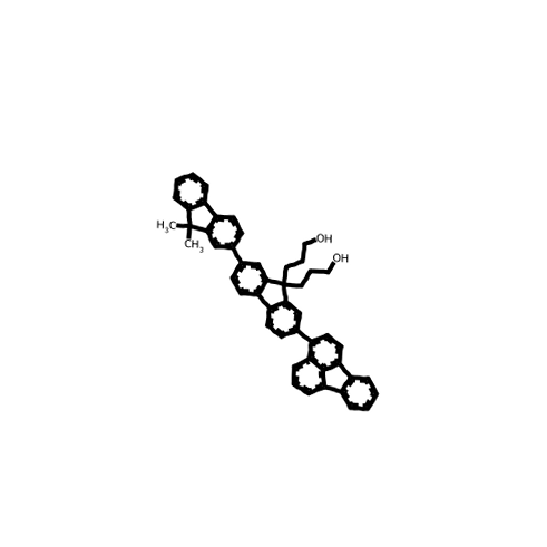 CC1(C)c2ccccc2-c2ccc(-c3ccc4c(c3)C(CCCO)(CCCO)c3cc(-c5ccc6c7c(cccc57)-c5ccccc5-6)ccc3-4)cc21